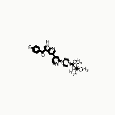 CC(C)(C)OC(=O)N1CCN(c2cc(-c3cnc4[nH]cc(C(=O)c5ccc(F)cc5)c4c3)ccn2)CC1